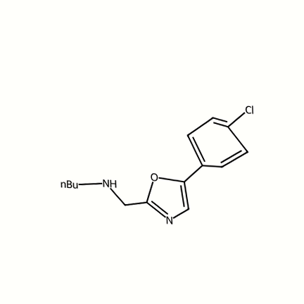 CCCCNCc1ncc(-c2ccc(Cl)cc2)o1